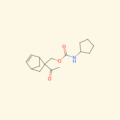 CC(=O)C1(COC(=O)NC2CCCC2)CC2C=CC1C2